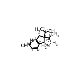 CC(C)C1(C(C)C)Cc2nc(Cl)ccc2[C@H]1N